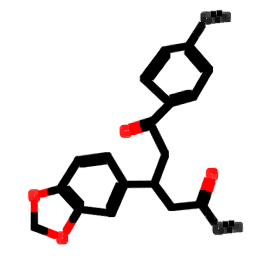 COC(=O)CC(CC(=O)c1ccc(OC)cc1)c1ccc2c(c1)OCO2